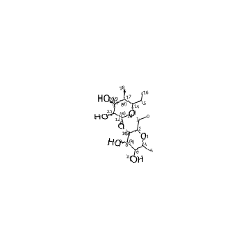 CCC1OC(C)C(O)[C@@H](O)[C@@H]1O[C@@H]1OC(CC)[C@H](C)[C@H](O)C1O